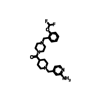 Nc1cc(CN2CCC(C(=O)N3CCN(Cc4ccccc4OC(F)F)CC3)CC2)ccn1